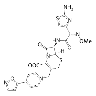 CO/N=C(\C(=O)N[C@@H]1C(=O)N2C(C(=O)[O-])=C(C[n+]3ccc(-c4ccno4)cc3)CS[C@H]12)c1csc(N)n1